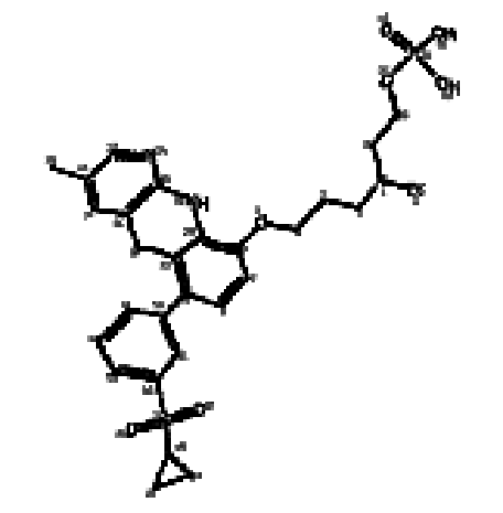 CCN(CCCOc1ccc(-c2cccc(S(=O)(=O)C3CC3)c2)c2c1Nc1ncc(C)cc1C2)CCOP(=O)(O)O